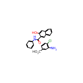 Nc1cc(C(=O)O)ccc1Cl.O=C(Nc1ccccc1)c1cc2ccccc2cc1O